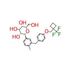 Cc1ccc([C@@H]2O[C@H](CO)[C@@H](O)[C@H](O)[C@H]2O)cc1Cc1ccc(OCC2(C(F)(F)F)CCC2)cc1